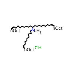 CCCCCCCC/C=C\CCCCCCCCC(CCCCCCCC/C=C\CCCCCCCC)N(C)CCCCCCCC/C=C\CCCCCCCC.Cl